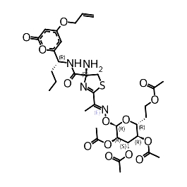 C=CCOc1cc([C@@H](CCC)NC(=O)[C@]2(N)CSC(/C(C)=N/O[C@H]3O[C@H](CCOC(C)=O)[C@@H](OC(C)=O)[C@H](OC(C)=O)[C@H]3OC(C)=O)=N2)oc(=O)c1